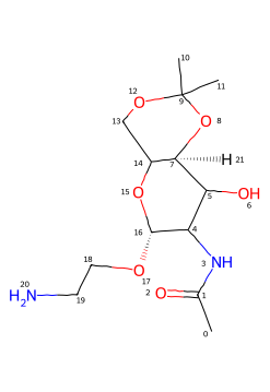 CC(=O)NC1C(O)[C@@H]2OC(C)(C)OCC2O[C@H]1OCCN